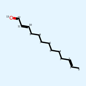 CC=CCCCCCCCC=CC=O